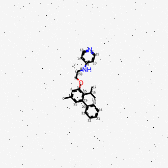 Cc1cc(OC[C@H](C)Nc2ccncc2)c(C(C)C)c(-c2ccccc2)c1